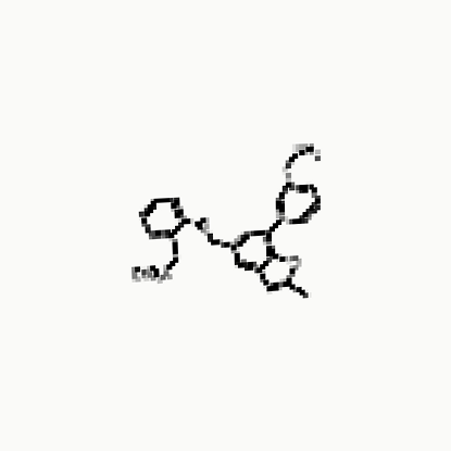 CCOC(=O)Cc1ccccc1OCc1cc(-c2ccnc(CN)c2)c2oc(C)cc2c1